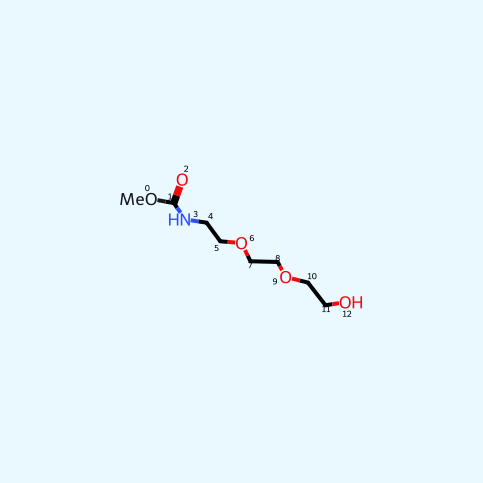 COC(=O)NCCOCCOCCO